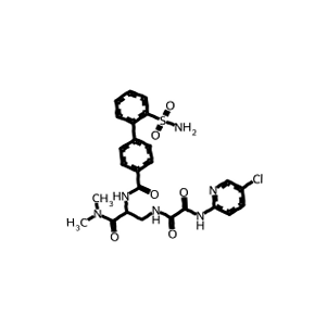 CN(C)C(=O)C(CNC(=O)C(=O)Nc1ccc(Cl)cn1)NC(=O)c1ccc(-c2ccccc2S(N)(=O)=O)cc1